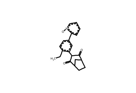 CCc1ccc(-c2cccc[n+]2[O-])cc1C1C(=O)C2CCC(C2)C1=O